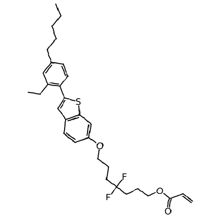 C=CC(=O)OCCCC(F)(F)CCCOc1ccc2cc(-c3ccc(CCCCC)cc3CC)sc2c1